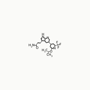 CC(C)Oc1cc(-c2cnc3[nH]cc(/C=C/C(N)=O)c3c2)cc(C(F)(F)F)n1